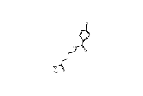 O=C(CCCCNC(=O)c1ccc(Cl)cc1)NO